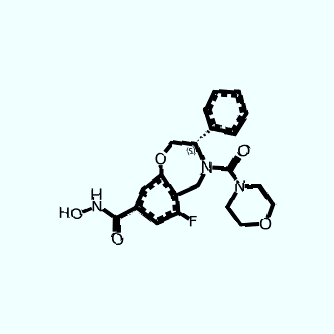 O=C(NO)c1cc(F)c2c(c1)OC[C@H](c1ccccc1)N(C(=O)N1CCOCC1)C2